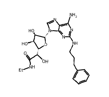 CCNC(=O)C(O)[C@H]1O[C@@H](n2cnc3c(N)nc(NCCCc4ccccc4)nc32)[C@H](O)[C@@H]1O